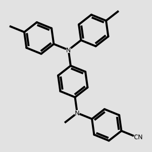 Cc1ccc(N(c2ccc(C)cc2)c2ccc(N(C)c3ccc(C#N)cc3)cc2)cc1